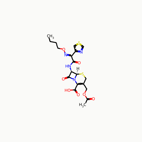 CCCCON=C(C(=O)N[C@@H]1C(=O)N2C(C(=O)O)=C(COC(C)=O)CS[C@H]12)c1cscn1